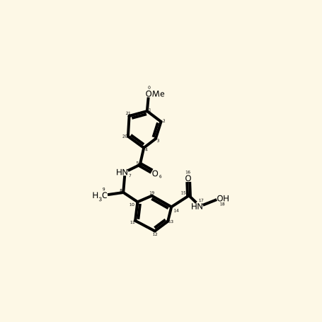 COc1ccc(C(=O)NC(C)c2cccc(C(=O)NO)c2)cc1